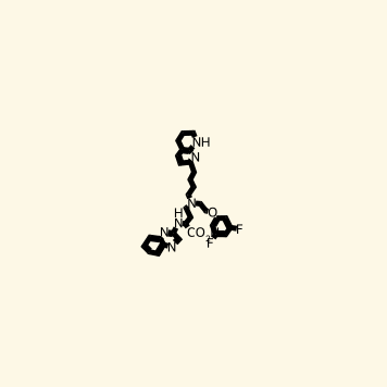 O=C(O)C(CCN(CCCCc1ccc2c(n1)NCCC2)CCOc1cc(F)cc(F)c1)Nc1cnc2ccccc2n1